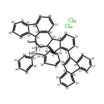 CCCC1=Cc2c(-c3cc4ccccc4c4ccccc34)cccc2C1c1cccc2c1[CH]([Zr+2][SiH](c1ccccc1)c1ccccc1)c1ccccc1-2.[Cl-].[Cl-]